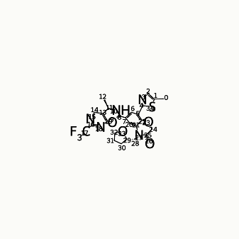 Cc1cnc(-c2cc(C(=O)N[C@H](C)c3cnc(C(F)(F)F)nc3)cc3c2OCC(=O)N3C[C@@H]2CCCO2)s1